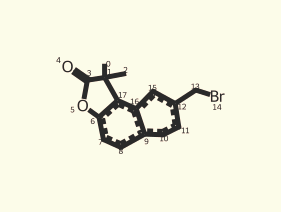 CC1(C)C(=O)Oc2ccc3ccc(CBr)cc3c21